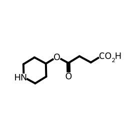 O=C(O)CCC(=O)OC1CCNCC1